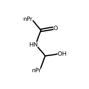 CC[CH]C(=O)NC(O)CCC